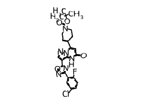 CC(C)(C)OC(=O)N1CCC(c2cc(=O)[nH]c3c(-c4nc(-c5cc(Cl)ccc5F)no4)cnn23)CC1